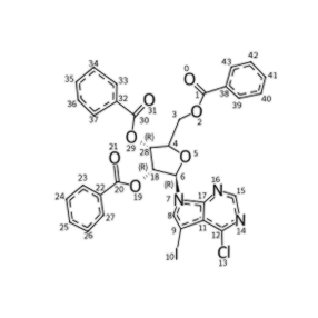 O=C(OCC1O[C@@H](n2cc(I)c3c(Cl)ncnc32)[C@H](OC(=O)c2ccccc2)[C@@H]1OC(=O)c1ccccc1)c1ccccc1